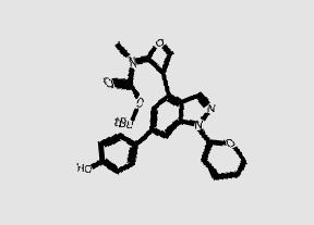 CN(C(=O)OC(C)(C)C)C1OCC1c1cc(-c2ccc(O)cc2)cc2c1cnn2C1CCCCO1